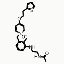 CC(=O)NCCNc1cccc(C[N+]2([O-])C=CC(OCCc3cccs3)=CC2)c1C